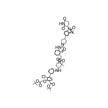 Cn1c(=O)n(C2CCC(=O)NC2=O)c2ccc(C3CCN(C(=O)Nc4cccc(CS(=O)(=O)N5CC[C@H](Nc6cccc(-c7sc(C(=O)OC(C)(C)C)c(OCC(=O)OC(C)(C)C)c7Cl)c6)CC5(C)C)c4F)CC3)cc21